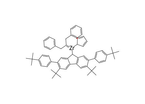 CC(C)(C)c1ccc(-c2cc3c(cc2C(C)(C)C)-c2cc(C(C)(C)C)c(-c4ccc(C(C)(C)C)cc4)cc2[CH]3[Zr](=[C](Cc2ccccc2)Cc2ccccc2)[CH]2C=CC=C2)cc1